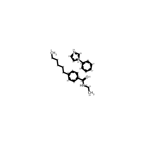 CCCCCCc1ccc(C(=O)NCC)cc1.c1ccc(-n2ccnc2)cc1